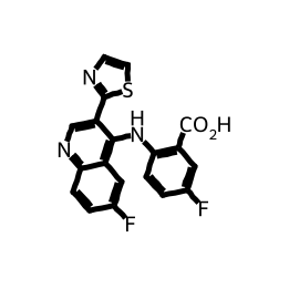 O=C(O)c1cc(F)ccc1Nc1c(-c2nccs2)cnc2ccc(F)cc12